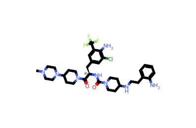 CN1CCN(C2CCN(C(=O)[C@@H](Cc3cc(Cl)c(N)c(C(F)(F)F)c3)NC(=O)N3CCC(NCCc4ccccc4N)CC3)CC2)CC1